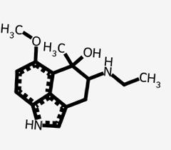 CCNC1Cc2c[nH]c3ccc(OC)c(c23)C1(C)O